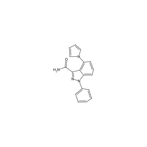 NC(=O)c1nn(-c2ccccc2)c2cccc(-n3cccc3)c12